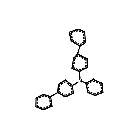 [c]1ccccc1N(c1ccc(-c2ccccc2)cc1)c1ccc(-c2ccccc2)cc1